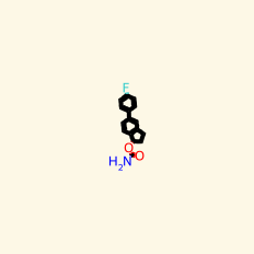 NC(=O)OC1CCc2cc(-c3ccc(F)cc3)ccc21